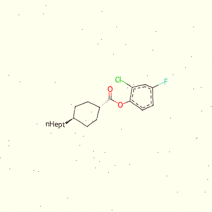 CCCCCCC[C@H]1CC[C@H](C(=O)Oc2ccc(F)cc2Cl)CC1